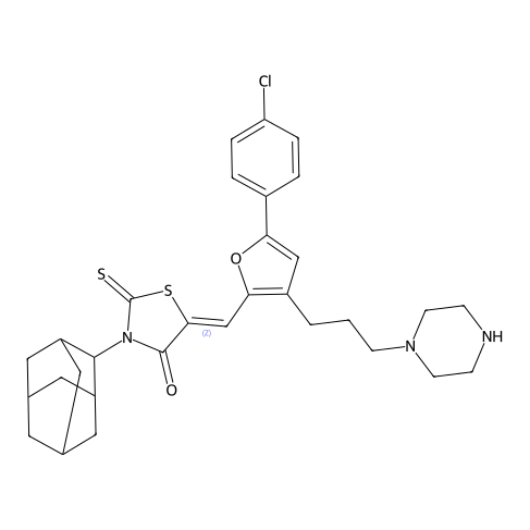 O=C1/C(=C/c2oc(-c3ccc(Cl)cc3)cc2CCCN2CCNCC2)SC(=S)N1C1C2CC3CC(C2)CC1C3